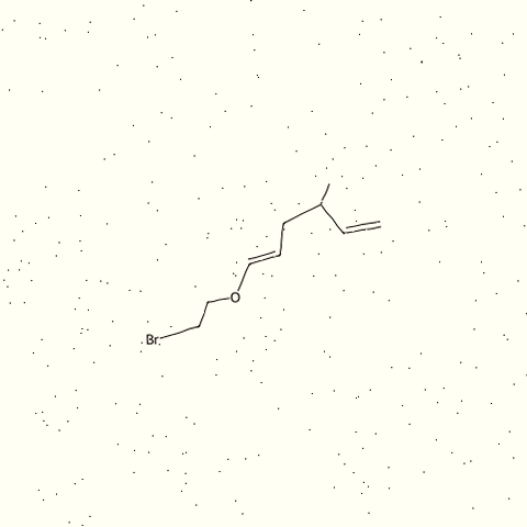 C=CC(C)C/C=C/OCCBr